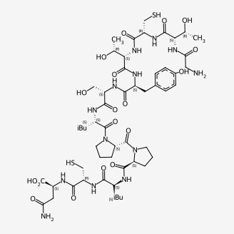 CC[C@H](C)[C@H](NC(=O)[C@@H]1CCCN1C(=O)[C@@H]1CCCN1C(=O)[C@@H](NC(=O)[C@H](CO)NC(=O)[C@H](Cc1ccc(O)cc1)NC(=O)[C@@H](NC(=O)[C@H](CS)NC(=O)[C@@H](NC(=O)CN)[C@@H](C)O)[C@@H](C)O)[C@@H](C)CC)C(=O)N[C@@H](CS)C(=O)N[C@@H](CC(N)=O)C(=O)O